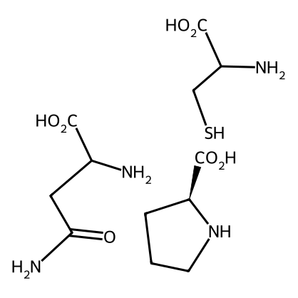 NC(=O)CC(N)C(=O)O.NC(CS)C(=O)O.O=C(O)[C@@H]1CCCN1